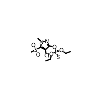 CCOP(=S)(OCC)Oc1nn(C)c(S(C)(=O)=O)c1Cl